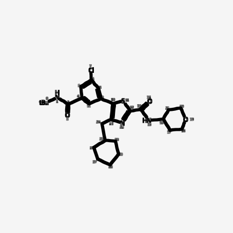 CC(C)(C)NC(=O)c1cc(Cl)cc(-c2sc(C(=O)NC3CCOCC3)nc2CC2CCCCC2)c1